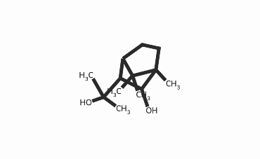 CC(C)(O)C1C2CCC(C)(C1O)C2(C)C